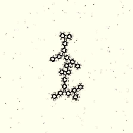 c1ccc(-c2ccc(N(c3ccc(-c4ccc(-n5c6ccccc6c6ccccc65)cc4)cc3)c3ccc(-c4ccc(-c5ccccc5)c5oc6c(-c7cccc8c7c7ccccc7n8-c7ccc(-c8ccc(N(c9ccc(-c%10ccccc%10)cc9)c9cccc(-c%10ccc(-c%11ccccc%11)c%11oc%12ccccc%12c%10%11)c9)cc8)cc7)cccc6c45)cc3)cc2)cc1